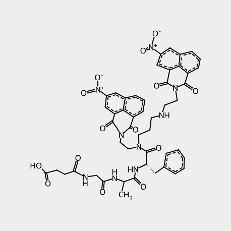 CC(NC(=O)CNC(=O)CCC(=O)O)C(=O)N[C@@H](Cc1ccccc1)C(=O)N(CCCNCCN1C(=O)c2cccc3cc([N+](=O)[O-])cc(c23)C1=O)CCN1C(=O)c2cccc3cc([N+](=O)[O-])cc(c23)C1=O